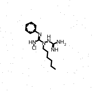 CCCCCCN(NC(=N)N)C(=Nc1ccccc1)NCl